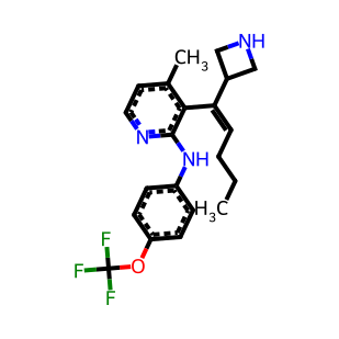 CCC/C=C(\c1c(C)ccnc1Nc1ccc(OC(F)(F)F)cc1)C1CNC1